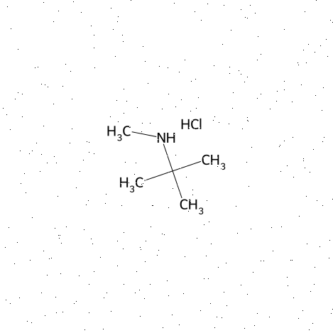 CNC(C)(C)C.Cl